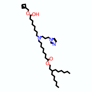 CCCCCCC(CCCCCC)CCOC(=O)CCCCCCCN(CCCCCCCC(O)OCC12CC(C1)C2)CCCn1ccnc1